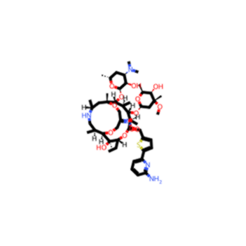 CC[C@H]1OC(=O)[C@H](C)[C@@H](O[C@H]2C[C@@](C)(OC)[C@@H](O)[C@H](C)O2)[C@H](C)[C@@H](O[C@@H]2O[C@H](C)C[C@H](N(C)C)[C@H]2O)[C@@]2(C)C[C@@H](C)NC[C@H](C)[C@@H](OC/C(=N\OCc3ccc(-c4cccc(N)n4)s3)CO2)[C@]1(C)O